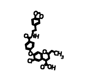 CCC1CC(C(=O)O)c2cc(Cl)c(Oc3ccc(C(=O)NCCc4ccc5c(c4)OCO5)cc3)cc2O1